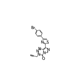 C#CCn1nnc2c(-c3nc(-c4ccc(Br)cc4)cs3)ncn2c1=O